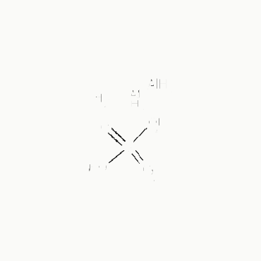 O.O=S(=O)(O)O.[AlH3].[AlH3]